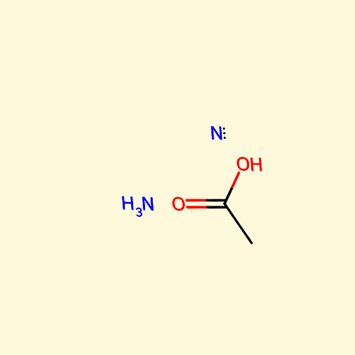 CC(=O)O.N.[N]